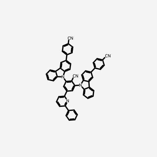 N#Cc1ccc(-c2ccc3c(c2)c2ccccc2n3-c2cc(-c3cccc(-c4ccccc4)n3)cc(-n3c4ccccc4c4cc(-c5ccc(C#N)cc5)ccc43)c2C#N)cc1